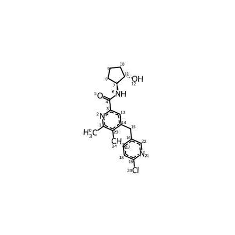 Cc1nc(C(=O)N[C@H]2CCC[C@@H]2O)cc(Cc2ccc(Cl)nc2)c1C